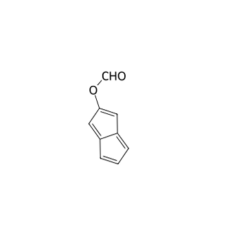 O=COC1=CC2=CC=CC2=C1